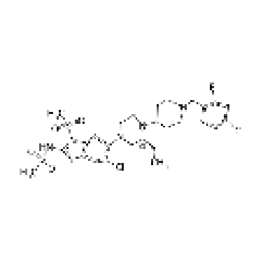 CC[C@H]1CN(c2cc3c(cc2Cl)nc(NS(C)(=O)=O)n3S(C)(=O)=O)CCN1C1CCN(Cc2ccc(Cl)cc2F)CC1